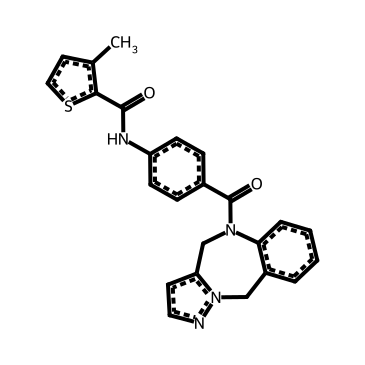 Cc1ccsc1C(=O)Nc1ccc(C(=O)N2Cc3ccnn3Cc3ccccc32)cc1